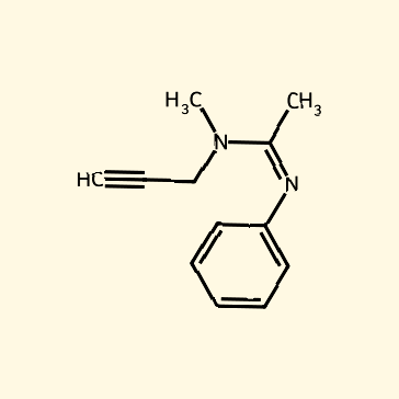 C#CCN(C)/C(C)=N\c1ccccc1